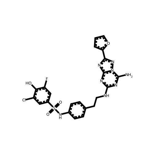 Nc1nc(NCCc2ccc(NS(=O)(=O)c3cc(F)c(O)c(Cl)c3)cc2)nc2nc(-c3ccco3)nn12